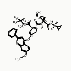 C=C[C@@H]1C[C@]1(NC(=O)[C@@H]1C[C@@H](Oc2cc(-c3ccccc3)nc3cc(OC)ccc23)CN1C(=O)[C@@H](N)C(C)(C)C)C(=O)NS(=O)(=O)C1CC1